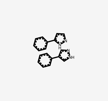 c1ccc(-c2ccn[nH]2)cc1.c1ccc(-c2cn[nH]c2)cc1